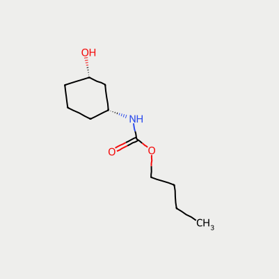 CCCCOC(=O)N[C@@H]1CCC[C@H](O)C1